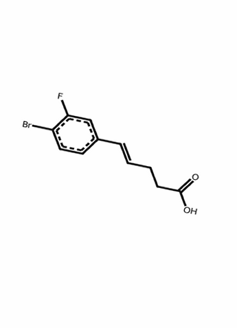 O=C(O)CCC=Cc1ccc(Br)c(F)c1